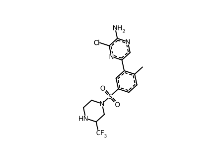 Cc1ccc(S(=O)(=O)N2CCNC(C(F)(F)F)C2)cc1-c1cnc(N)c(Cl)n1